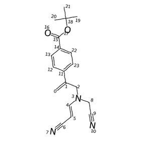 C=C(CN(C=CC#N)CC#N)c1ccc(C(=O)OC(C)(C)C)cc1